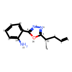 C=CC[C@H](C)c1nnc(-c2ccccc2N)o1